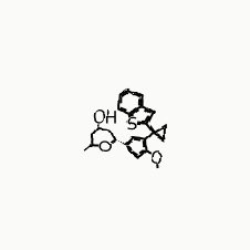 COc1ccc([C@H]2CC(O)CC(C)O2)cc1C1(c2cc3ccccc3s2)CC1